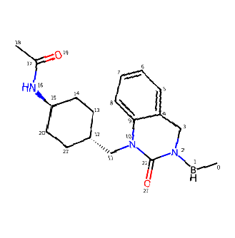 CBN1Cc2ccccc2N(C[C@H]2CC[C@H](NC(C)=O)CC2)C1=O